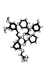 COc1ccc(CCC(OC(=O)[C@@H]2CCCCN2C(=O)[C@H](c2cccc(F)c2)C2CCCCC2)c2cccc(OCC(=O)O)c2)cc1OC